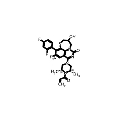 C=CC(=O)N1[C@H](C)CN(c2nc(=O)n3c4c(c(-c5ccc(F)cc5F)c(C(F)(F)F)cc24)SCC(O)C3)C[C@@H]1C